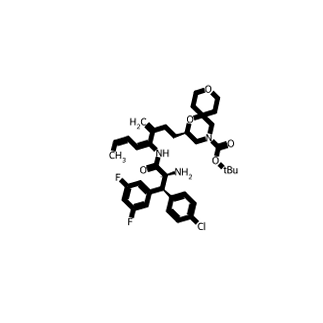 C=C(CC[C@@H]1CN(C(=O)OC(C)(C)C)CC2(CCOCC2)O1)/C(=C\C=C/C)NC(=O)[C@@H](N)[C@@H](c1ccc(Cl)cc1)c1cc(F)cc(F)c1